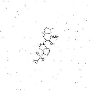 COC(=O)C(C[C@H]1CCC(C)C1)n1ncc2c(S(=O)(=O)C3CC3)cccc21